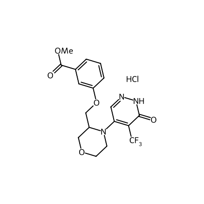 COC(=O)c1cccc(OCC2COCCN2c2cn[nH]c(=O)c2C(F)(F)F)c1.Cl